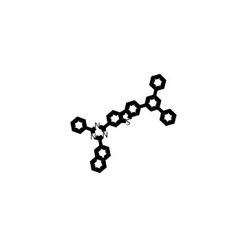 c1ccc(-c2cc(-c3ccccc3)cc(-c3ccc4c(c3)sc3cc(-c5nc(-c6ccccc6)nc(-c6ccc7ccccc7c6)n5)ccc34)c2)cc1